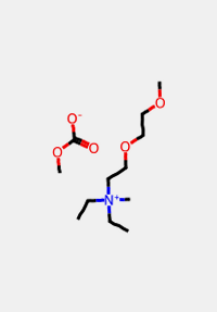 CC[N+](C)(CC)CCOCCOC.COC(=O)[O-]